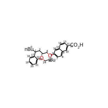 CCCCC(CCCOc1ccc2cc(C(=O)O)ccc2c1)c1ccccc1OCC(C)CC